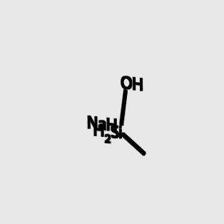 C[SiH2]O.[NaH]